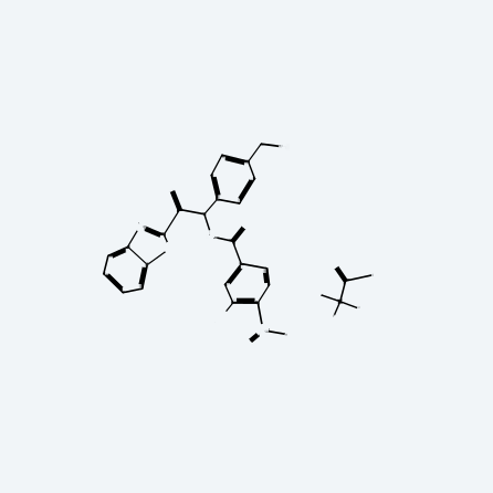 Cc1cc(C(=O)NC(C(=O)c2nc3ccccc3s2)c2ccc(CN)cc2)ccc1[N+](=O)[O-].O=C(O)C(F)(F)F